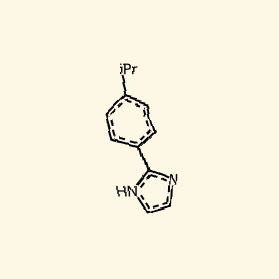 CC(C)c1ccc(-c2ncc[nH]2)cc1